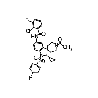 CC(=O)N1CCC2(CC1)c1cc(NC(=O)c3cccc(F)c3Cl)ccc1N(S(=O)(=O)c1ccc(F)cc1)C2C1CC1